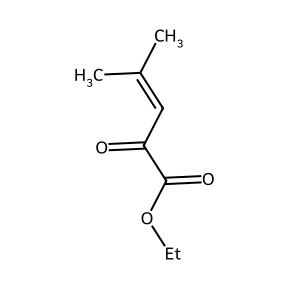 CCOC(=O)C(=O)C=C(C)C